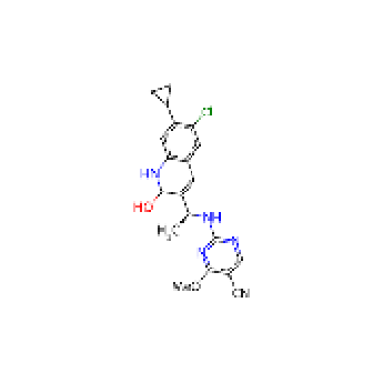 COc1nc(N[C@@H](C)C2=Cc3cc(Cl)c(C4CC4)cc3NC2O)ncc1C#N